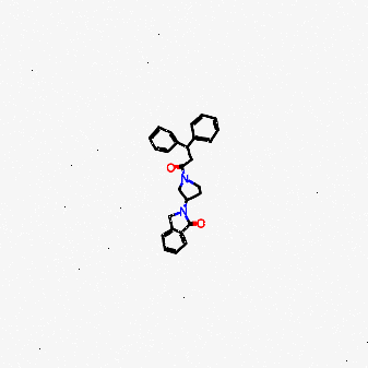 O=C(CC(c1ccccc1)c1ccccc1)N1CCC(N2Cc3ccccc3C2=O)C1